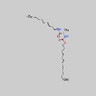 CCCCCCCCCCCCCCCCCCCCCOC(=O)N[C@H](C(=O)NCCCCCCCCCCCCCCCCCC)[C@@H](C)CC